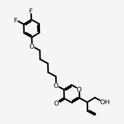 C=CC(CO)c1cc(=O)c(OCCCCCOc2ccc(F)c(F)c2)co1